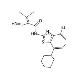 C=C(CC)c1nc(NC(=O)C(C=N)=C(C)C)sc1/C(=C\C)C1CCCCC1